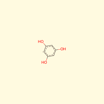 Oc1[c]c(O)cc(O)c1